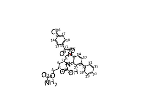 NC(=O)OCCCC(c1ncc(-c2ccc(Cl)cc2)o1)N(C(=O)O)c1cc(-c2ccccc2)ccc1C=O